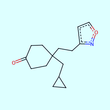 O=C1CCC(CCc2ccon2)(CC2CC2)CC1